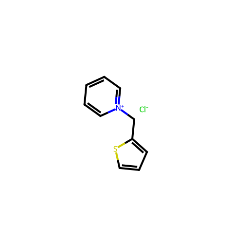 [Cl-].c1cc[n+](Cc2cccs2)cc1